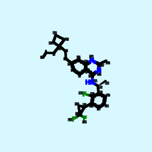 CCCC1(CCc2ccc3c(N[C@H](C)c4cccc(C5CC5(F)F)c4F)nc(C)nc3c2)CCC1